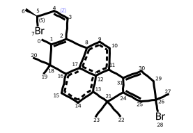 CC1=C(/C=C\[C@H](C)Br)c2ccc3c4c(ccc(c24)C1(C)C)C(C)(C)C1=CC(C)(Br)CC=C13